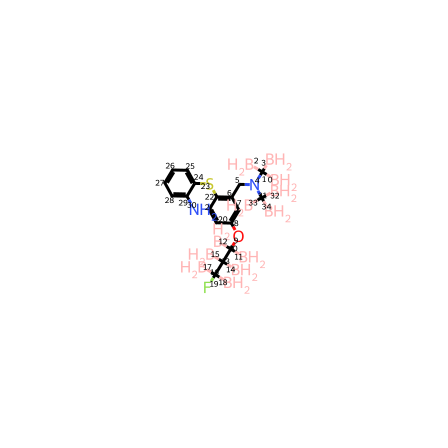 BC(B)(B)N(Cc1cc(OC(B)(B)C(B)(B)C(B)(B)F)ccc1Sc1ccccc1N)C(B)(B)B